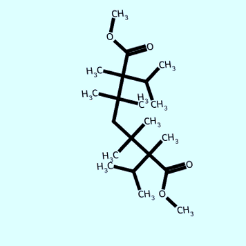 COC(=O)C(C)(C(C)C)C(C)(C)CC(C)(C)C(C)(C(=O)OC)C(C)C